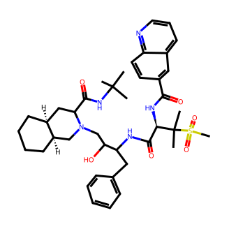 CC(C)(C)NC(=O)C1C[C@@H]2CCCC[C@@H]2CN1CC(O)C(Cc1ccccc1)NC(=O)[C@@H](NC(=O)c1ccc2ncccc2c1)C(C)(C)S(C)(=O)=O